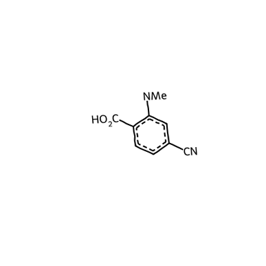 CNc1cc(C#N)ccc1C(=O)O